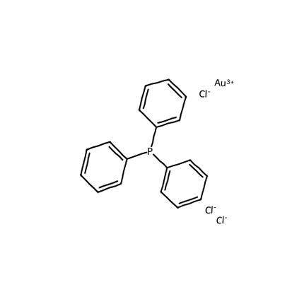 [Au+3].[Cl-].[Cl-].[Cl-].c1ccc(P(c2ccccc2)c2ccccc2)cc1